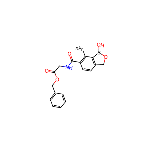 CCCc1c(C(=O)NCC(=O)OCc2ccccc2)ccc2c1B(O)OC2